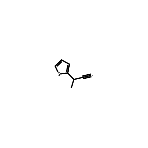 [C]#CC(C)c1cccs1